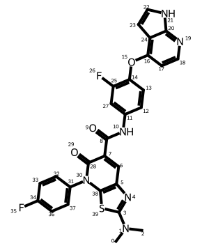 CN(C)c1nc2cc(C(=O)Nc3ccc(Oc4ccnc5[nH]ccc45)c(F)c3)c(=O)n(-c3ccc(F)cc3)c2s1